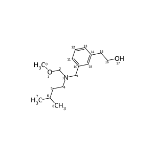 COCN(CCC(C)C)Cc1cccc(CCO)c1